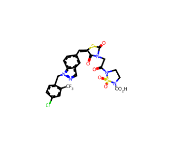 O=C1SC(=Cc2ccc3c(cnn3Cc3ccc(Cl)cc3C(F)(F)F)c2)C(=O)N1CC(=O)N1CCN(C(=O)O)S1(=O)=O